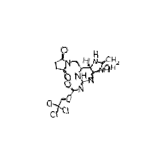 C=C1N[C@H]2[C@H](CN3C(=O)CCC3=O)N/C(=N\C(=O)OCC(Cl)(Cl)Cl)N3C=CC(O)[C@]23N1